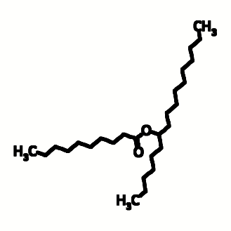 CCCCCCCCCCC(CCCCCC)OC(=O)CCCCCCCCC